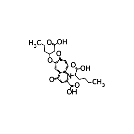 CCCCC(C(=O)O)n1c(C(=O)O)cc(=O)c2cc(OC(CCC)CC(=O)O)c(=O)ccc21